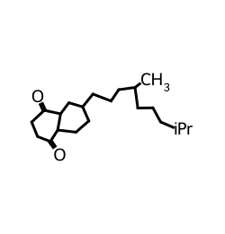 CC(C)CCCC(C)CCCC1CCC2C(=O)CCC(=O)C2C1